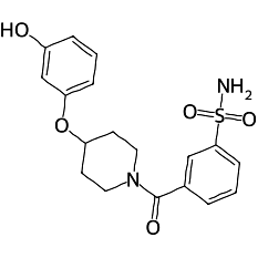 NS(=O)(=O)c1cccc(C(=O)N2CCC(Oc3cccc(O)c3)CC2)c1